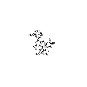 CC(C)(C)OC(=O)N1CC2(CC2)/C(=N\SC(C)(C)C)C1Cc1cccc(Br)c1F